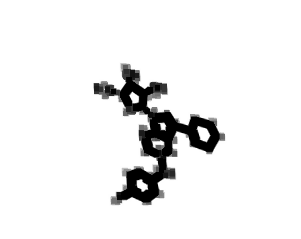 C[C@H]1O[C@@H](n2cc(C3=CCCCC3)c3c2N=CN(Nc2ccc(F)cc2)C3)[C@H](O)[C@@H]1O